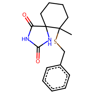 CC1(SCc2ccccc2)CCCCC12NC(=O)NC2=O